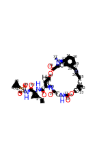 C=C[C@@H]1C[C@]1(NC(=O)[C@@H]1C[C@@H]2CN1C(=O)CNC(=O)OCC(C)(C)CC/C=C/c1cccc3c1cc(n3C)C(=O)O2)C(=O)NS(=O)(=O)C1CC1